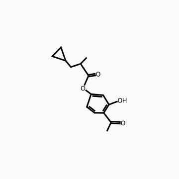 CC(=O)c1ccc(OC(=O)C(C)CC2CC2)cc1O